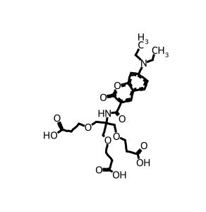 CCN(CC)c1ccc2cc(C(=O)NC(COCCC(=O)O)(COCCC(=O)O)COCCC(=O)O)c(=O)oc2c1